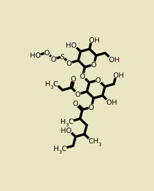 CCC(=O)OC1C(OC2OC(CO)C(O)C(O)C2OSOOO)OC(CO)C(O)C1OC(=O)C(C)CC(C)C(O)CC